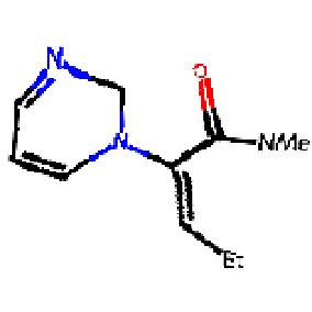 CC/C=C(\C(=O)NC)N1C=CC=NC1